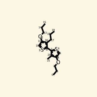 CCCOc1csc(-c2scc(OCCC)c2CCC)c1C